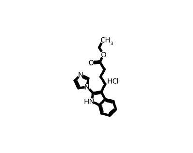 CCOC(=O)CCCc1c(-n2ccnc2)[nH]c2ccccc12.Cl